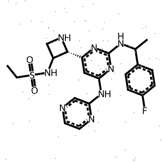 CCS(=O)(=O)NC1CN[C@@H]1c1cc(Nc2cnccn2)nc(NC(C)c2ccc(F)cc2)n1